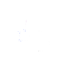 CC1(C)CCCCCc2c(nnn2I)C1